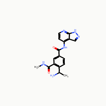 CNC(=O)c1cc(C(=O)Nc2ccnc3[nH]ncc23)ccc1C(C)N